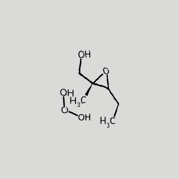 CCC1O[C@@]1(C)CO.OOO